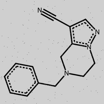 N#Cc1cnn2c1CN(Cc1ccccc1)CC2